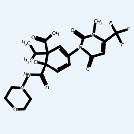 CC(C)C1(C(=O)O)C=C(n2c(=O)cc(C(F)(F)F)n(C)c2=O)C=CC1(Cl)C(=O)NN1CCOCC1